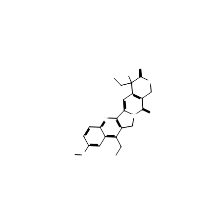 CCc1c2c(nc3ccc(BO)cc13)-c1cc3c(c(=O)n1C2)COC(=O)C3(O)CC